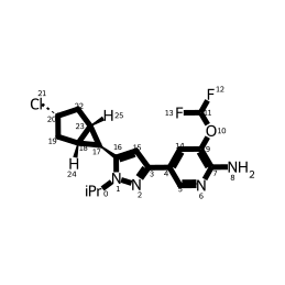 CC(C)n1nc(-c2cnc(N)c(OC(F)F)c2)cc1[C@H]1[C@@H]2C[C@H](Cl)C[C@@H]21